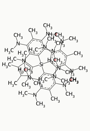 CC1=C(C)C(C)C([Si](c2c(N(C)C)c(N(C)C)c(C)c(N(C)C)c2N(C)C)(c2c(N(C)C)c(N(C)C)c(C)c(N(C)C)c2N(C)C)c2c(N(C)C)c(N(C)C)c(C)c(N(C)C)c2N(C)C)=C1C